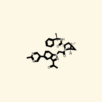 CC(=O)c1nn(CC(=O)N2[C@H](C(=O)N[C@H](C)c3ccccc3)C[C@@]3(C)C[C@@H]23)c2ccc(-c3cnc(C)nc3)cc12